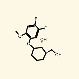 COc1cc(F)c(F)cc1OC1CCC[C@H](CO)[C@H]1O